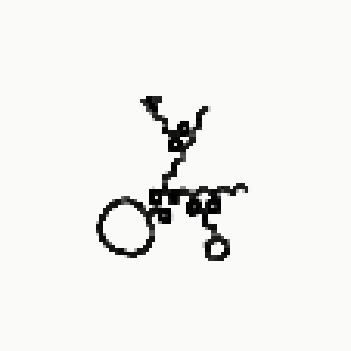 CCCCCCC(CSC(CCCCC(CCCCC)OC(=O)CCCN(C)C)OC(=O)C1CCCCCCCCCCCCCC1)OC(=O)CCC1CCCCC1